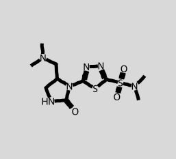 CN(C)CC1CNC(=O)N1c1nnc(S(=O)(=O)N(C)C)s1